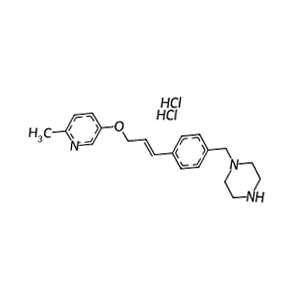 Cc1ccc(OCC=Cc2ccc(CN3CCNCC3)cc2)cn1.Cl.Cl